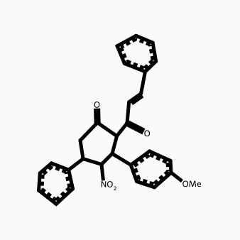 COc1ccc(C2C(C(=O)C=Cc3ccccc3)C(=O)CC(c3ccccc3)C2[N+](=O)[O-])cc1